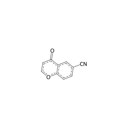 N#Cc1ccc2occc(=O)c2c1